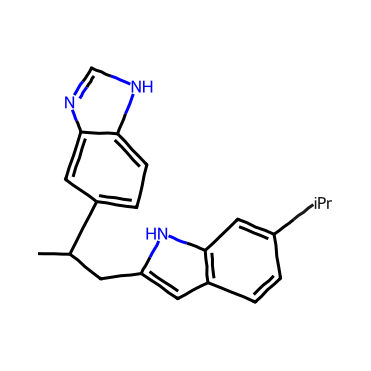 CC(C)c1ccc2cc(CC(C)c3ccc4[nH]cnc4c3)[nH]c2c1